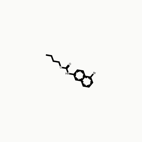 CCCCOC(=O)Nc1ccc2c(Br)cccc2c1